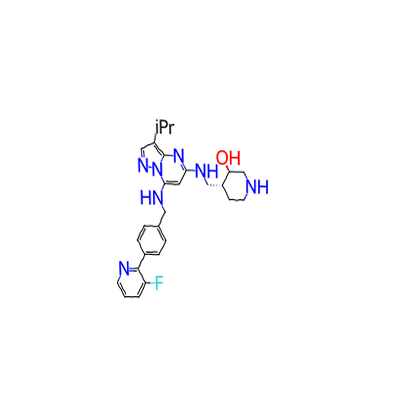 CC(C)c1cnn2c(NCc3ccc(-c4ncccc4F)cc3)cc(NC[C@H]3CCNC[C@@H]3O)nc12